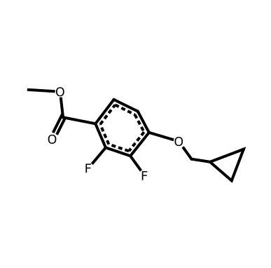 COC(=O)c1ccc(OCC2CC2)c(F)c1F